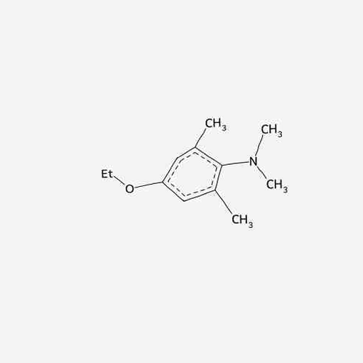 CCOc1cc(C)c(N(C)C)c(C)c1